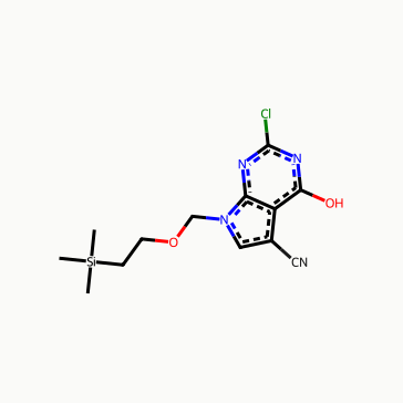 C[Si](C)(C)CCOCn1cc(C#N)c2c(O)nc(Cl)nc21